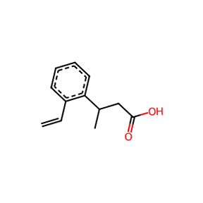 C=Cc1ccccc1C(C)CC(=O)O